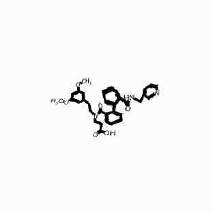 COc1cc(CCN(CCC(=O)O)C(=O)c2ccccc2-c2ccccc2C(=O)NCc2cccnc2)cc(OC)c1